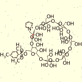 Cc1cc(C)c(S(=O)(=O)OCC2OC3OC4C(CO)OC(OC5C(CO)OC(OC6C(CO)OC(OC7C(CO)OC(OC8C(CO)OC(OC9C(C[n+]%10ccccc%10)OC(OC2C(O)C3O)C(O)C9O)C(O)C8O)C(O)C7O)C(O)C6O)C(O)C5O)C(O)C4O)c(C)c1